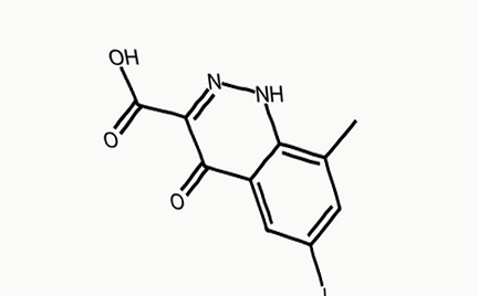 Cc1cc(I)cc2c(=O)c(C(=O)O)n[nH]c12